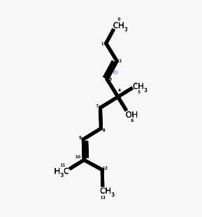 CC/C=C/C(C)(O)CCC=C(C)CC